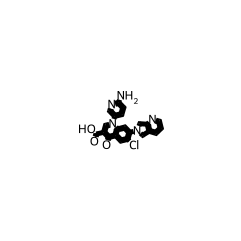 Nc1ccc(-n2cc(C(=O)O)c(=O)c3cc(Cl)c(N4Cc5cccnc5C4)cc32)cn1